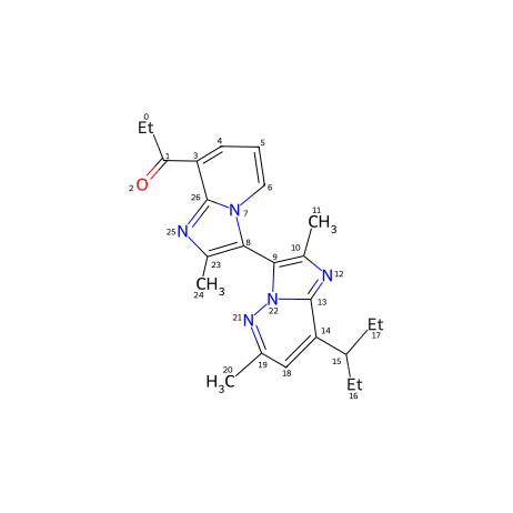 CCC(=O)c1cccn2c(-c3c(C)nc4c(C(CC)CC)cc(C)nn34)c(C)nc12